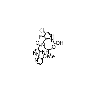 COc1cccnc1-n1ncc(C(=O)N2CCCOC(O)Nc3ccc(Cl)c(F)c3C2)c1N